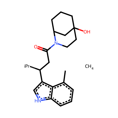 C.Cc1cccc2[nH]cc(C(CC(=O)N3CCC4(O)CCCC3C4)C(C)C)c12